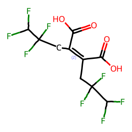 O=C(O)/C(CC(F)(F)C(F)F)=C(/CC(F)(F)C(F)F)C(=O)O